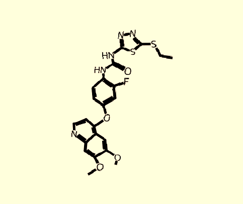 CCSc1nnc(NC(=O)Nc2ccc(Oc3ccnc4cc(OC)c(OC)cc34)cc2F)s1